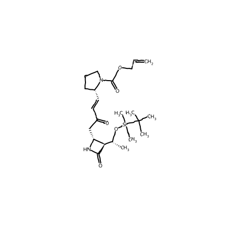 C=CCOC(=O)N1CCC[C@H]1C=CC(=O)C[C@H]1NC(=O)[C@@H]1[C@@H](C)O[Si](C)(C)C(C)(C)C